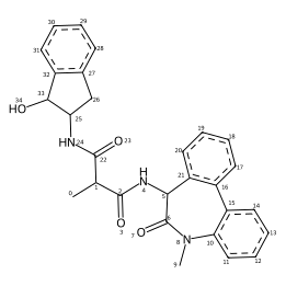 CC(C(=O)NC1C(=O)N(C)c2ccccc2-c2ccccc21)C(=O)NC1Cc2ccccc2C1O